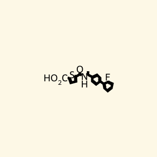 CC(NC(=O)c1ccc(C(=O)O)s1)c1ccc(-c2ccccc2F)cc1